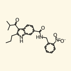 CCCc1[nH]c2cc(C(=O)NCc3ccccc3[N+](=O)[O-])ccc2c1C(=O)C(C)C